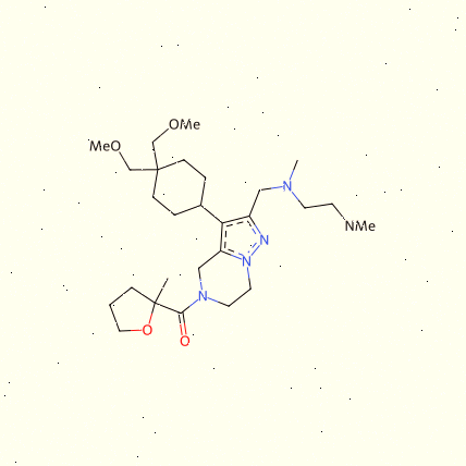 CNCCN(C)Cc1nn2c(c1C1CCC(COC)(COC)CC1)CN(C(=O)C1(C)CCCO1)CC2